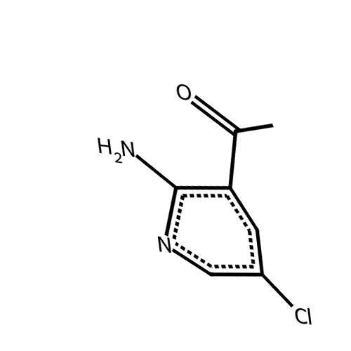 CC(=O)c1cc(Cl)cnc1N